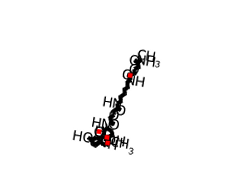 CNC(=O)COCC(=O)NCCCCCCNC(=O)COCC(=O)N[C@H]1CCC2(O)[C@H]3Cc4ccc(O)c5c4[C@@]2(CCN3C)[C@@H]1O5